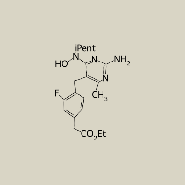 CCCC(C)N(O)c1nc(N)nc(C)c1Cc1ccc(CC(=O)OCC)cc1F